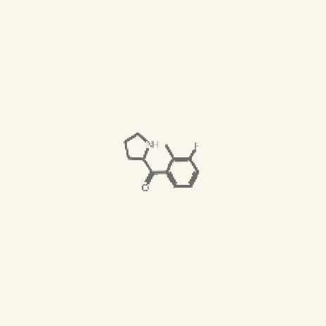 Cc1c(F)cccc1C(=O)C1CCCN1